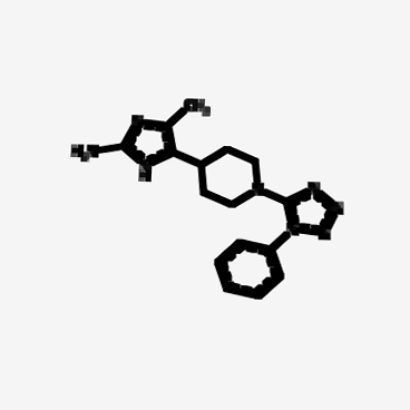 Cc1nc(N)[nH]c1C1CCN(c2nnnn2-c2ccccc2)CC1